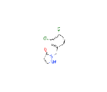 O=c1cc[nH]n1Cc1ccc(Cl)c(Cl)c1